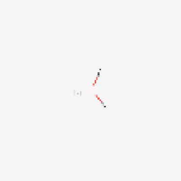 COC.[Ni]